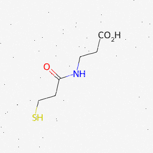 O=C(O)CCNC(=O)CCS